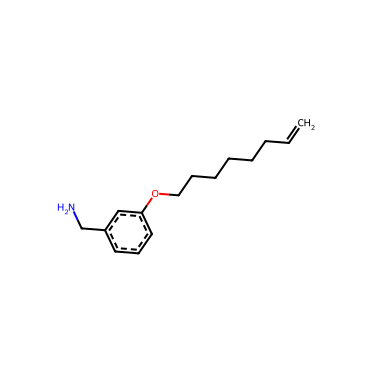 C=CCCCCCCOc1cccc(CN)c1